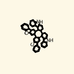 c1ccc2c(c1)[nH]c1ccc3c(c12)-c1cc2c(cc1-c1cc4oc5ccccc5c4cc1-c1c-3ccc3[nH]c4ccccc4c13)oc1ccccc12